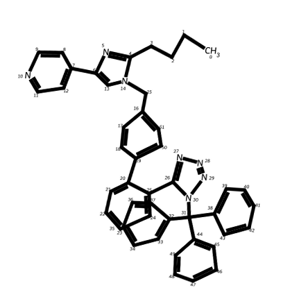 CCCCc1nc(-c2ccncc2)cn1Cc1ccc(-c2ccccc2-c2nnnn2C(c2ccccc2)(c2ccccc2)c2ccccc2)cc1